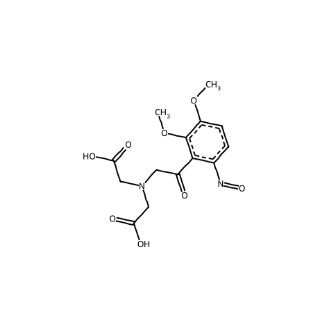 COc1ccc(N=O)c(C(=O)CN(CC(=O)O)CC(=O)O)c1OC